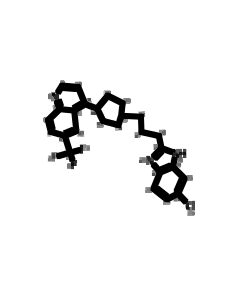 FC(F)(F)c1ccc2nccc(C3CCC(CCCc4nc5ccc(Cl)cc5[nH]4)CC3)c2c1